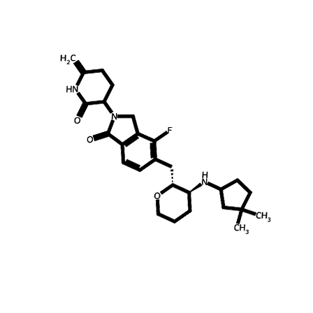 C=C1CCC(N2Cc3c(ccc(C[C@H]4OCCC[C@@H]4NC4CCC(C)(C)C4)c3F)C2=O)C(=O)N1